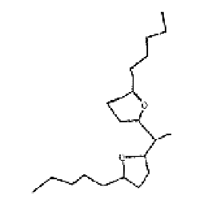 CCCCCC1CCC(C(C)C2CCC(CCCCC)O2)O1